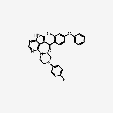 O=C(c1ccc(Oc2ccccc2)cc1Cl)c1c[nH]c2ncnc(N3CCN(c4ccc(F)cc4)CC3)c12